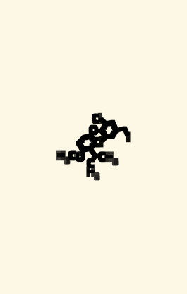 COc1ccc(Oc2c(Cl)cc(CI)cc2Cl)cc1C(C)C